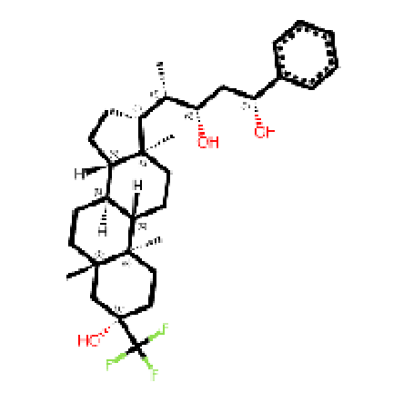 C[C@@H]([C@H]1CC[C@H]2[C@@H]3CC[C@@]4(C)C[C@](O)(C(F)(F)F)CC[C@]4(C)[C@H]3CC[C@]12C)[C@@H](O)C[C@@H](O)c1ccccc1